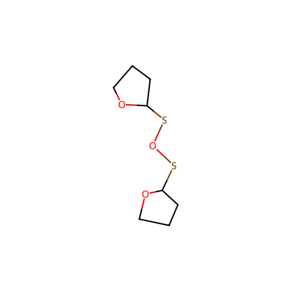 C1COC(SOSC2CCCO2)C1